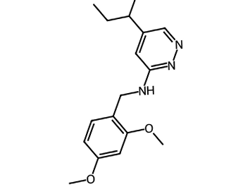 CCC(C)c1cnnc(NCc2ccc(OC)cc2OC)c1